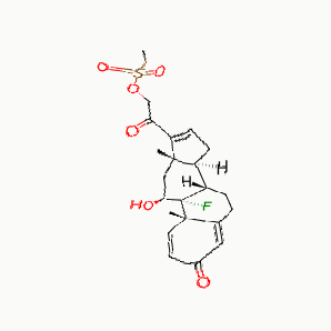 C[C@]12C=CC(=O)C=C1CC[C@H]1[C@@H]3CC=C(C(=O)COS(C)(=O)=O)[C@@]3(C)C[C@H](O)[C@@]12F